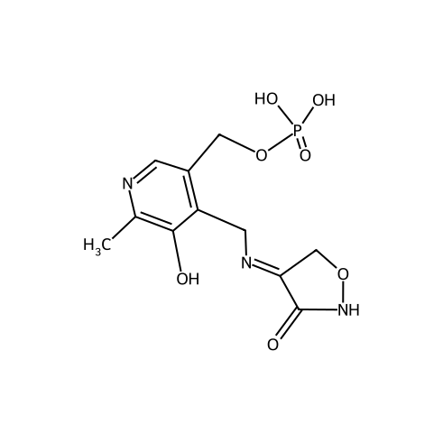 Cc1ncc(COP(=O)(O)O)c(CN=C2CONC2=O)c1O